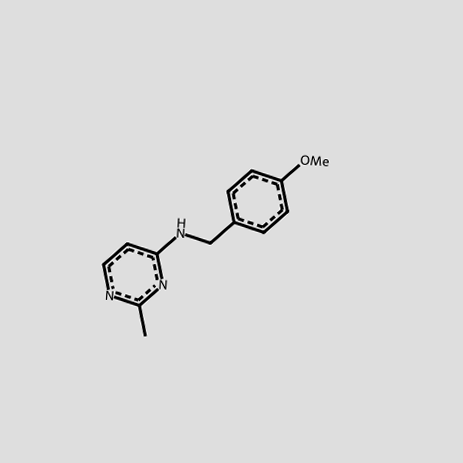 COc1ccc(CNc2ccnc(C)n2)cc1